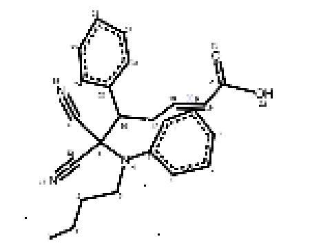 CCCCN(c1ccccc1)C(C#N)(C#N)C(C/C=C/C(=O)O)c1ccccc1